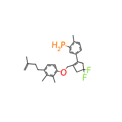 C=C(C)CCc1ccc(OCC2=C(c3ccc(C)c(P)c3)CC(F)(F)C2)c(C)c1C